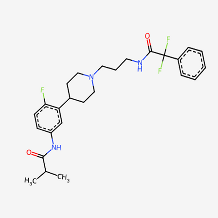 CC(C)C(=O)Nc1ccc(F)c(C2CCN(CCCNC(=O)C(F)(F)c3ccccc3)CC2)c1